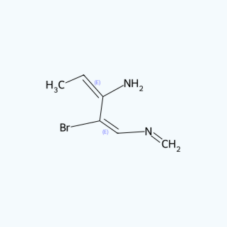 C=N/C=C(Br)\C(N)=C/C